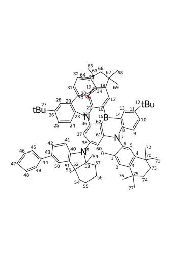 Cc1cc2c(cc1N1c3ccc(C(C)(C)C)cc3B3c4cc5c(cc4N(c4ccc(C(C)(C)C)cc4-c4ccccc4)c4cc(N6c7ccc(-c8ccccc8)cc7C7(C)CCCCC67C)cc1c43)C(C)(C)CC5(C)C)C(C)(C)CCC2(C)C